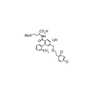 CSCCC(NC(=O)c1ccc(COCCc2ccc(Cl)cc2Cl)cc1-c1ccccc1C)C(=O)O.[LiH]